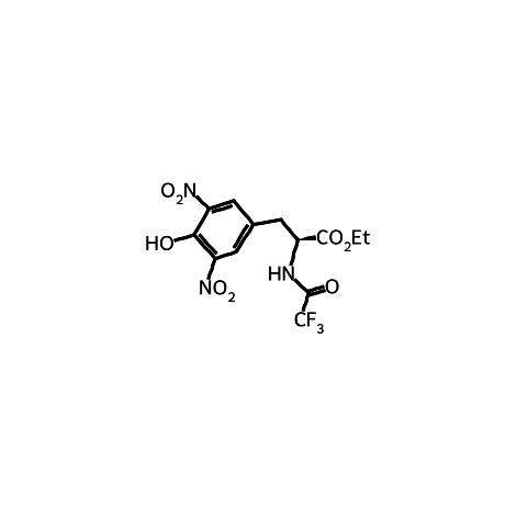 CCOC(=O)[C@H](Cc1cc([N+](=O)[O-])c(O)c([N+](=O)[O-])c1)NC(=O)C(F)(F)F